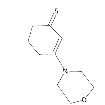 S=C1C=C(N2CCOCC2)CCC1